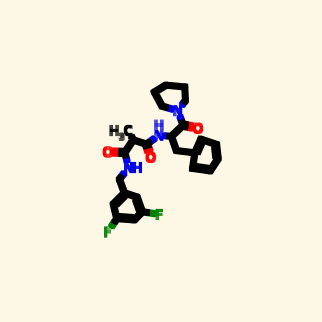 CC(C(=O)NCc1cc(F)cc(F)c1)C(=O)NC(Cc1ccccc1)C(=O)N1CCCCC1